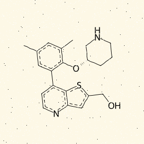 Cc1cc(C)c(O[C@H]2CCCNC2)c(-c2ccnc3cc(CO)sc23)c1